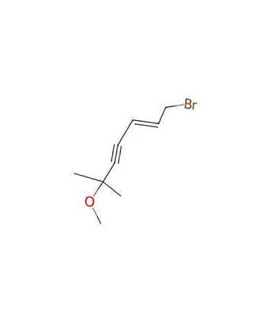 COC(C)(C)C#C/C=C/CBr